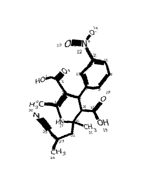 CC1=C(C(=O)O)C(c2cccc([N+](=O)[O-])c2)C(C(=O)O)C(C)(CC(C)C#N)N1